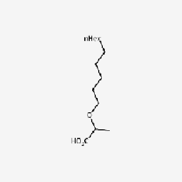 CCCCCCCCCCCOC(C)C(=O)O